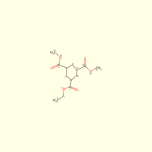 CCOC(=O)C1CC(C(=O)OC)CC(C(=O)OC)C1